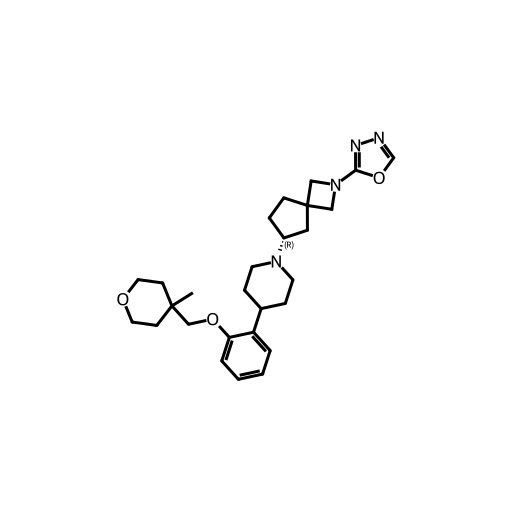 CC1(COc2ccccc2C2CCN([C@@H]3CCC4(C3)CN(c3nnco3)C4)CC2)CCOCC1